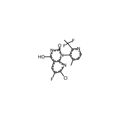 Cc1ccnc(C(C)(F)F)c1-n1c(=O)nc(O)c2cc(F)c(Cl)nc21